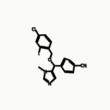 Cn1cncc1C(OCc1ccc(Cl)cc1I)c1ccc(C#N)cc1